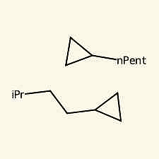 CC(C)CCC1CC1.CCCCCC1CC1